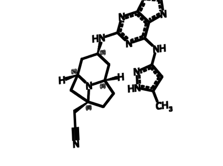 Cc1cc(Nc2nc(N[C@H]3C[C@@H]4CC[C@]5(CC#N)C[C@H](C3)N45)nc3scnc23)n[nH]1